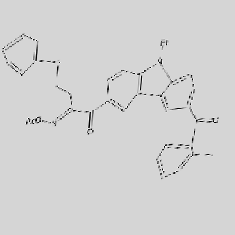 CCn1c2ccc(C(=O)/C(CCSc3ccccc3)=N/OC(C)=O)cc2c2cc(C(=O)c3ccccc3C)ccc21